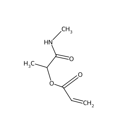 C=CC(=O)OC(C)C(=O)NC